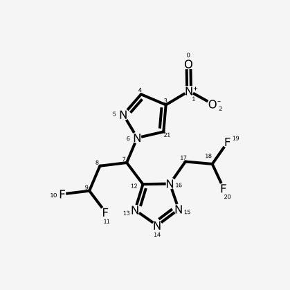 O=[N+]([O-])c1cnn(C(CC(F)F)c2nnnn2CC(F)F)c1